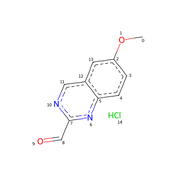 COc1ccc2nc(C=O)ncc2c1.Cl